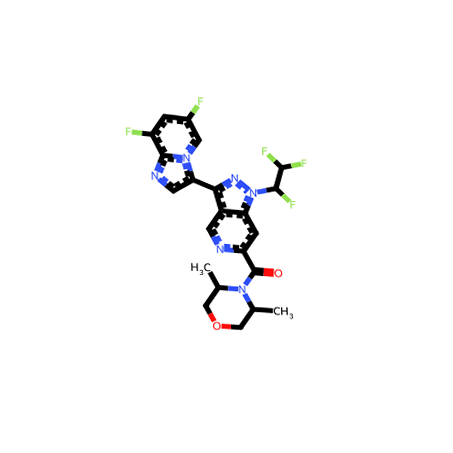 CC1COCC(C)N1C(=O)c1cc2c(cn1)c(-c1cnc3c(F)cc(F)cn13)nn2C(F)C(F)F